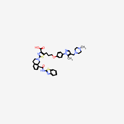 Cc1c(CN2CCN(C)CC2)cnn1-c1ccc(OCCCc2sc(N3CCc4cccc(C(=O)Nc5nc6ccccc6s5)c4C3)nc2C(=O)O)cc1